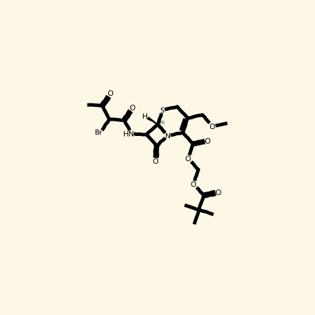 COCC1=C(C(=O)OCOC(=O)C(C)(C)C)N2C(=O)C(NC(=O)C(Br)C(C)=O)[C@@H]2SC1